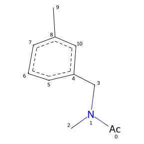 CC(=O)N(C)Cc1cccc(C)c1